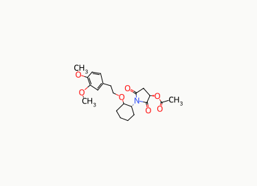 COc1ccc(CCOC2CCCC[C@H]2N2C(=O)C[C@@H](OC(C)=O)C2=O)cc1OC